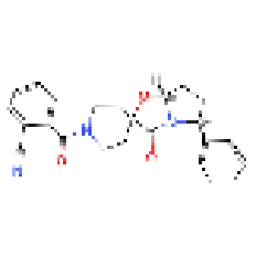 N#Cc1ccccc1C(=O)N1CCC2(CC1)O[C@@H]1CC[C@@H](c3ccccc3)N1C2=O